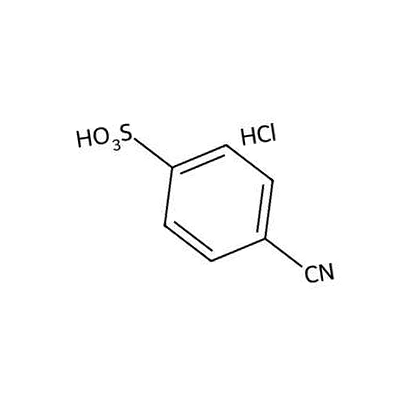 Cl.N#Cc1ccc(S(=O)(=O)O)cc1